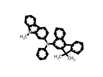 Cn1c2ccccc2c2ccc(N(c3ccccc3)c3cc4c(c5ccccc35)-c3ccccc3C4(C)C)cc21